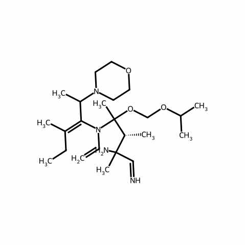 C=CN(/C(=C(/C)CC)C(C)N1CCOCC1)C(C)(OCOC(C)C)[C@H](C)C(C)(N)C=N